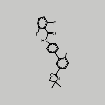 Cc1ccc(C2=NC(C)(C)CO2)cc1-c1ccc(NC(=O)c2c(F)cccc2F)cc1